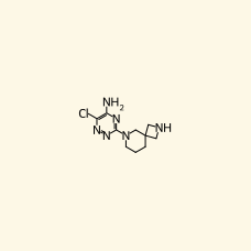 Nc1nc(N2CCCC3(CNC3)C2)nnc1Cl